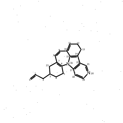 C=CCC1CCC2=C(C=CC3=CCCc4c3n2c2ccncc42)C1